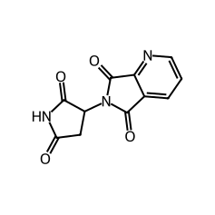 O=C1CC(N2C(=O)c3cccnc3C2=O)C(=O)N1